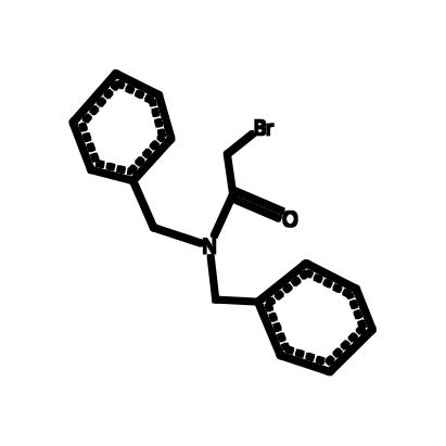 O=C(CBr)N(Cc1ccccc1)Cc1ccccc1